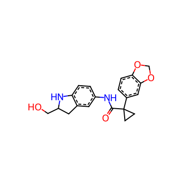 O=C(Nc1ccc2c(c1)CC(CO)N2)C1(c2ccc3c(c2)OCO3)CC1